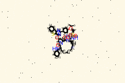 CC(C)Oc1ccc(-c2nc(O[C@@H]3C[C@H]4C(=O)N[C@]5(C(=O)NS(=O)(=O)C6CC6)C[C@H]5/C=C\CCCCC[C@H](Nc5ccccc5)C(=O)N4C3)c3sc4ccccc4c3n2)cc1